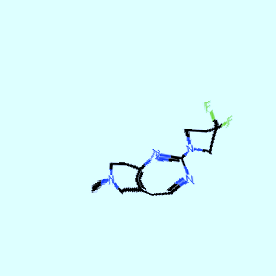 CN1Cc2cnc(N3CC(F)(F)C3)nc2C1